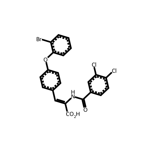 O=C(O)/C(=C/c1ccc(Oc2ccccc2Br)cc1)NC(=O)c1ccc(Cl)c(Cl)c1